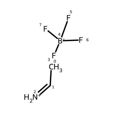 CC=[NH2+].F[B-](F)(F)F